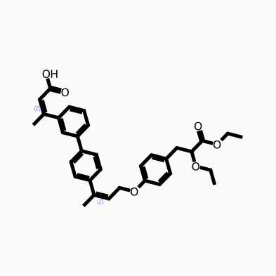 CCOC(=O)C(Cc1ccc(OC/C=C(/C)c2ccc(-c3cccc(/C(C)=C\C(=O)O)c3)cc2)cc1)OCC